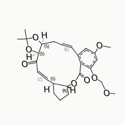 COCOc1cc(OC)cc2c1C(=O)O[C@@H]1CCC[C@H]1/C=C\C(=O)[C@H]1OC(C)(C)O[C@H]1C/C=C/2